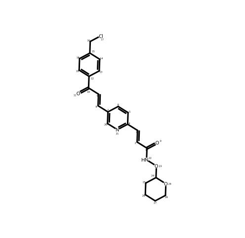 O=C(C=Cc1ccc(C=CC(=O)c2ccc(CCl)cc2)cn1)NOC1CCCCO1